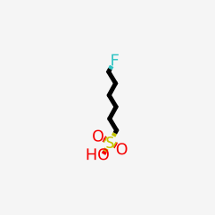 O=S(=O)(O)CCCCCCF